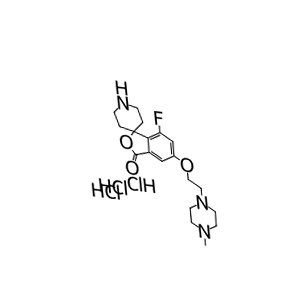 CN1CCN(CCOc2cc(F)c3c(c2)C(=O)OC32CCNCC2)CC1.Cl.Cl.Cl